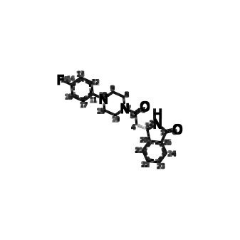 O=C1N[C@@H](CC(=O)N2CCN(c3ccc(F)cc3)CC2)c2ccccc21